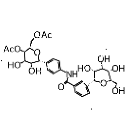 CC(=O)OC[C@H]1O[C@H](c2ccc(NC(=O)c3cccc([C@H]4O[C@H](CO)[C@@H](O)[C@H](O)[C@H]4O)c3)cc2)[C@@H](O)[C@@H](O)[C@H]1OC(C)=O